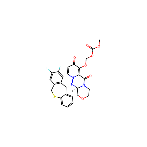 COC(=O)OCOc1c2n(ccc1=O)N([C@H]1c3cc(F)c(F)cc3CSc3ccccc31)[C@@H]1COCCN1C2=O